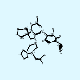 CC(C)CN1CSCC12CCCC2.Cc1c(C#N)ccc(N=C2SCC3(CCCC3)N2CC(C)C)c1C